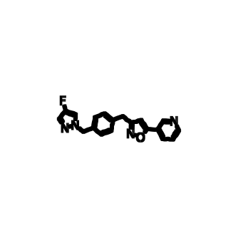 Fc1cnn(Cc2ccc(Cc3cc(-c4cccnc4)on3)cc2)c1